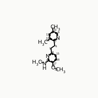 CNc1nc(CCc2ncc(C)cc2C)ccc1OC